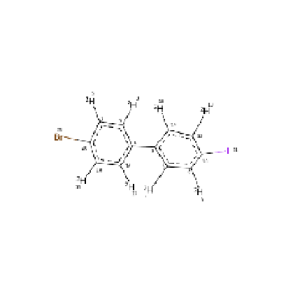 [2H]c1c([2H])c(-c2c([2H])c([2H])c(I)c([2H])c2[2H])c([2H])c([2H])c1Br